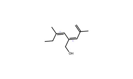 C=C(C)/C=C(\C=C(\C)CC)CO